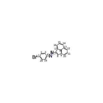 Brc1ccc(/N=N/C2=Cc3cccc4cccc2c34)cc1